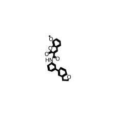 COc1cccc2cc(C(=O)Nc3cccc(-c4ccc5c(c4)CCO5)c3)c(=O)oc12